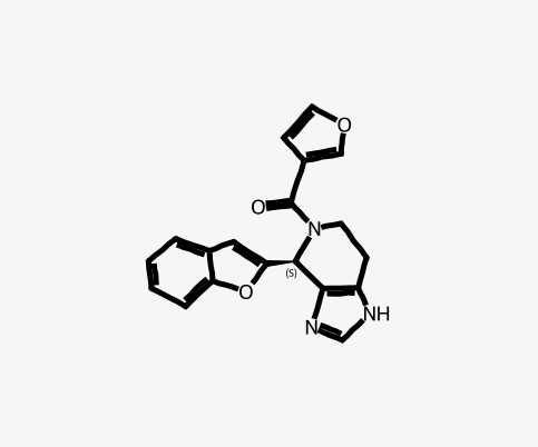 O=C(c1ccoc1)N1CCc2[nH]cnc2[C@H]1c1cc2ccccc2o1